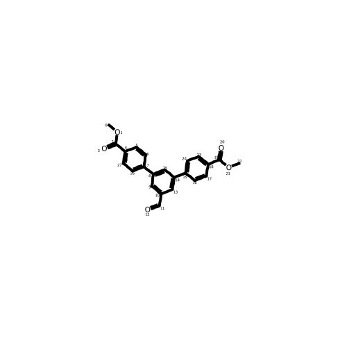 COC(=O)c1ccc(-c2cc(C=O)cc(-c3ccc(C(=O)OC)cc3)c2)cc1